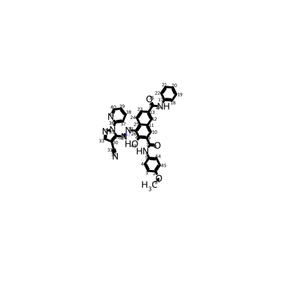 COc1ccc(NC(=O)c2cc3cc(C(=O)Nc4ccccc4)ccc3c(/N=N/c3c(C#N)cnn3-c3ccccn3)c2O)cc1